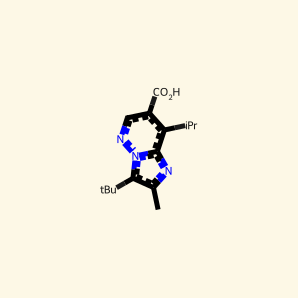 Cc1nc2c(C(C)C)c(C(=O)O)cnn2c1C(C)(C)C